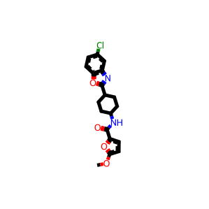 COc1ccc(C(=O)NC2CCC(c3nc4cc(Cl)ccc4o3)CC2)o1